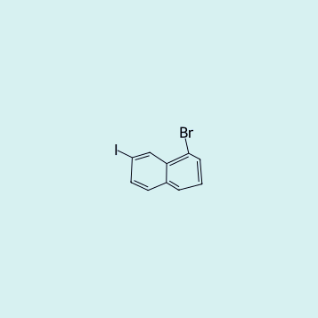 Brc1cccc2ccc(I)cc12